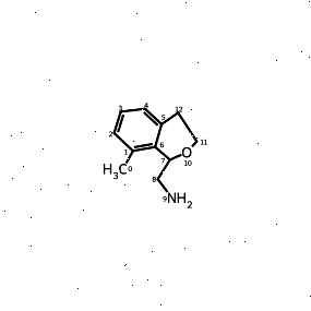 Cc1cccc2c1C(CN)OCC2